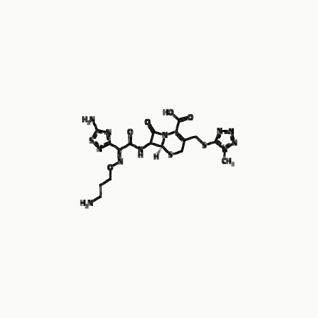 Cn1nnnc1SCC1=C(C(=O)O)N2C(=O)C(NC(=O)C(=NOCCCN)c3nsc(N)n3)[C@@H]2SC1